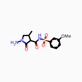 COc1cccc(S(=O)(=O)NC(=O)C2C(=O)N(N)CC2C)c1